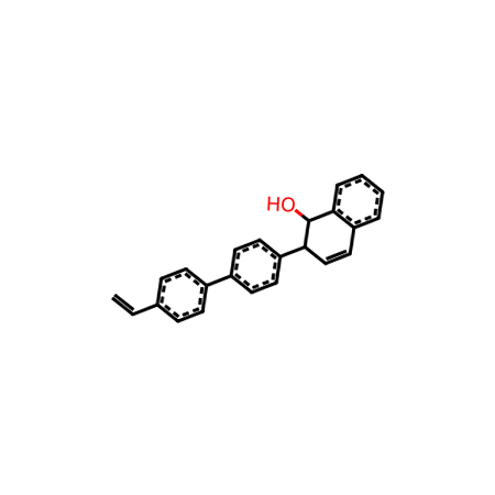 C=Cc1ccc(-c2ccc(C3C=Cc4ccccc4C3O)cc2)cc1